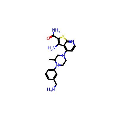 CC1CN(c2ccnc3sc(C(N)=O)c(N)c23)CCN1c1cccc(CN)c1